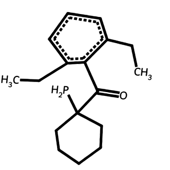 CCc1cccc(CC)c1C(=O)C1(P)CCCCC1